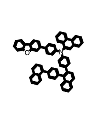 c1ccc2c(-c3ccc(-c4c(-c5ccc(N(c6ccc(-c7ccc8c(c7)oc7ccccc78)cc6)c6cc7ccccc7c7ccccc67)cc5)ccc5ccccc45)cc3)cccc2c1